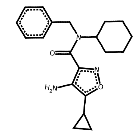 Nc1c(C(=O)N(Cc2ccccc2)C2CCCCC2)noc1C1CC1